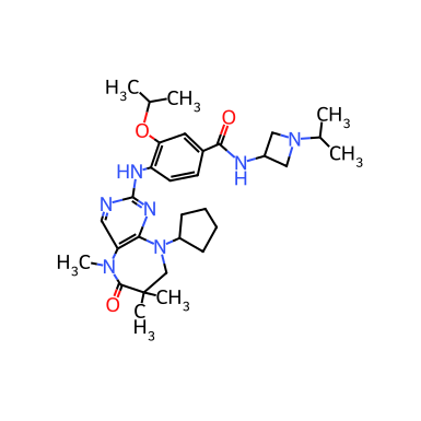 CC(C)Oc1cc(C(=O)NC2CN(C(C)C)C2)ccc1Nc1ncc2c(n1)N(C1CCCC1)CC(C)(C)C(=O)N2C